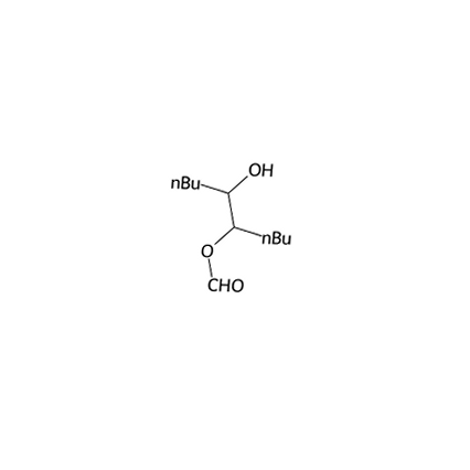 CCCCC(O)C(CCCC)OC=O